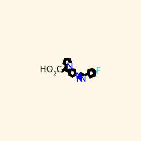 O=C(O)Cc1c2c(n3ccccc13)CC(n1cc(-c3ccc(F)cc3)nn1)CC2